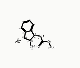 CC(C)(C)OC(=O)N[C@@H]1c2ccccc2[C@@H](O)[C@@H]1O